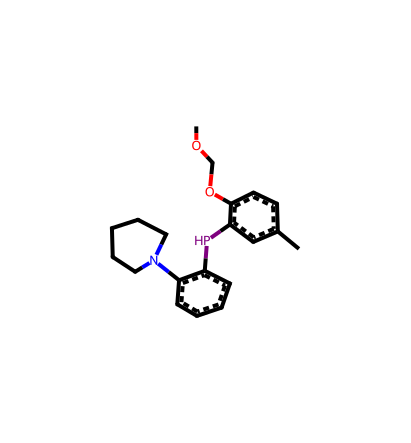 COCOc1ccc(C)cc1Pc1ccccc1N1CCCCC1